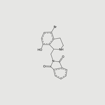 O=C1c2ccccc2C(=O)N1CC1NCCc2c(Br)ccc(O)c21